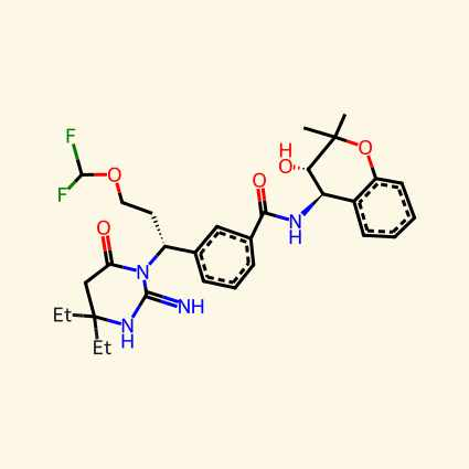 CCC1(CC)CC(=O)N([C@H](CCOC(F)F)c2cccc(C(=O)N[C@@H]3c4ccccc4OC(C)(C)[C@H]3O)c2)C(=N)N1